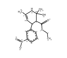 CCOC(=O)C1C(c2cccc([N+](=O)[O-])c2)N=C(C)NC1(C)O